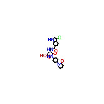 O=C(O)CC(NC(=O)c1ccc2c(Cl)c[nH]c2c1)C(=O)Nc1ccc(-n2ccccc2=O)cc1